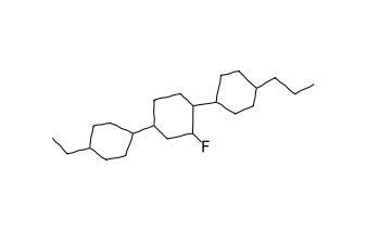 CCCC1CCC(C2CCC(C3CCC(CC)CC3)CC2F)CC1